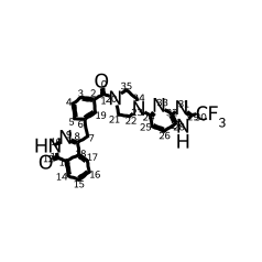 O=C(c1cccc(Cc2n[nH]c(=O)c3ccccc23)c1)N1CCN(c2ccc3[nH]c(C(F)(F)F)nc3n2)CC1